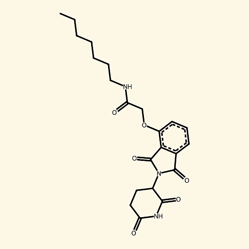 CCCCCCCNC(=O)COc1cccc2c1C(=O)N(C1CCC(=O)NC1=O)C2=O